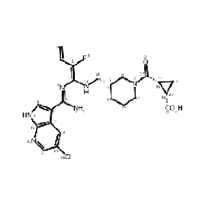 C=C/C(F)=C(\N=C(/N)c1c[nH]c2ncc(Cl)cc12)NC[C@H]1CCCN(C(=O)[C@@H]2C[C@@H]2C(=O)O)C1